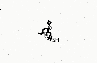 C\C=C(BOC(C)(C)C(C)(C)S)/C=C\C(OC1CCC1)=C(/C)CC